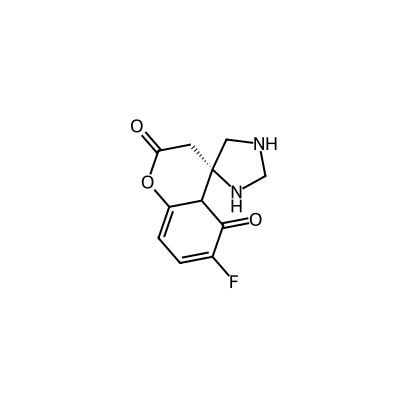 O=C1C[C@@]2(CNCN2)C2C(=O)C(F)=CC=C2O1